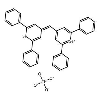 C(=C1C=C(c2ccccc2)[Se]C(c2ccccc2)=C1)c1cc(-c2ccccc2)[se+]c(-c2ccccc2)c1.[O-][Cl+3]([O-])([O-])[O-]